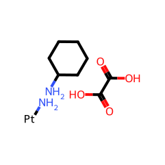 NC1CCCCC1.O=C(O)C(=O)O.[NH2][Pt]